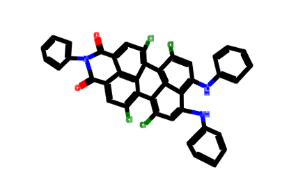 O=C1c2cc(Cl)c3c4c(Cl)cc(Nc5ccccc5)c5c(Nc6ccccc6)cc(Cl)c(c6c(Cl)cc(c2c36)C(=O)N1c1ccccc1)c54